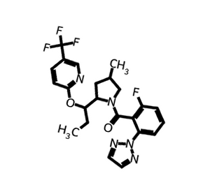 CCC(Oc1ccc(C(F)(F)F)cn1)C1CC(C)CN1C(=O)c1c(F)cccc1-n1nccn1